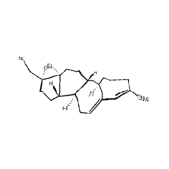 CC[C@]12CC[C@H]3[C@@H](CC=C4C=C(OC)CC[C@@H]43)[C@@H]1CC[C@@]2(O)CC#N